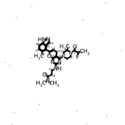 C=C(F)C(=O)N1CCN(c2nc(NCCC(=O)N(C)C)nc3c2CC=C(c2c(C)ccc4[nH]ncc24)O3)C[C@H]1C